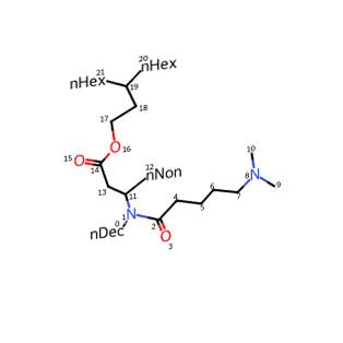 CCCCCCCCCCN(C(=O)CCCCN(C)C)C(CCCCCCCCC)CC(=O)OCCC(CCCCCC)CCCCCC